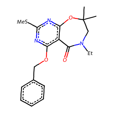 CCN1CC(C)(C)Oc2nc(SC)nc(OCc3ccccc3)c2C1=O